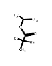 CCC(C)(C(=O)OC(C(F)(F)F)C(F)(F)F)C(C)(C)C